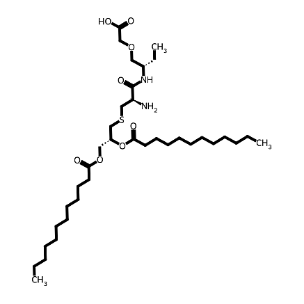 CCCCCCCCCCCC(=O)OC[C@H](CSC[C@H](N)C(=O)N[C@@H](CC)COCC(=O)O)OC(=O)CCCCCCCCCCC